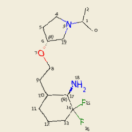 CC(C)N1CC[C@@H](OCCC2CCCC(F)(F)[C@@H]2N)C1